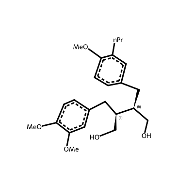 CCCc1cc(C[C@@H](CO)[C@@H](CO)Cc2ccc(OC)c(OC)c2)ccc1OC